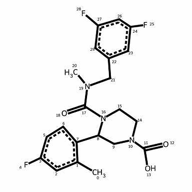 Cc1cc(F)ccc1C1CN(C(=O)O)CCN1C(=O)N(C)Cc1cc(F)cc(F)c1